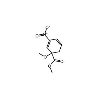 COC(=O)C1(OC)C=C([N+](=O)[O-])C=CC1